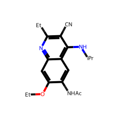 CCOc1cc2nc(CC)c(C#N)c(NC(C)C)c2cc1NC(C)=O